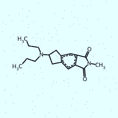 CCCN(CCC)C1Cc2cc3c(cc2C1)C(=O)N(C)C3=O